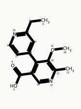 CCc1cc(-c2c(C(=O)O)cnc(C)c2OC)ccn1